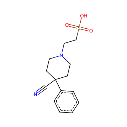 N#CC1(c2ccccc2)CCN(CCS(=O)(=O)O)CC1